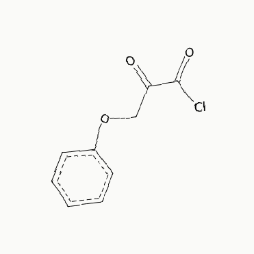 O=C(Cl)C(=O)COc1ccccc1